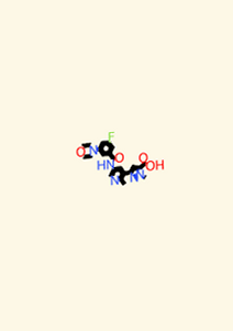 Cc1ncc(NC(=O)c2cc(F)cc(N3CCOCC3)c2)cc1-c1cc(C(=O)O)n(C)n1